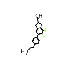 C#CC1Cc2cc(-c3ccc(CCC)cc3)c(F)c(F)c2C1